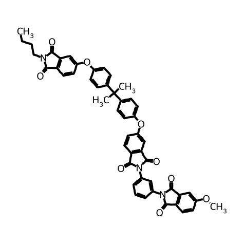 CCCCN1C(=O)c2ccc(Oc3ccc(C(C)(C)c4ccc(Oc5ccc6c(c5)C(=O)N(c5cccc(N7C(=O)c8ccc(OC)cc8C7=O)c5)C6=O)cc4)cc3)cc2C1=O